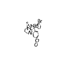 COCOc1ccc(C2(c3cccc(Br)c3)NC(=S)N3CCCN=C32)cc1